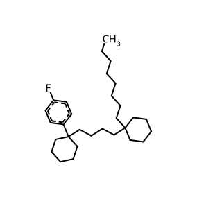 CCCCCCCCC1(CCCCC2(c3ccc(F)cc3)CCCCC2)CCCCC1